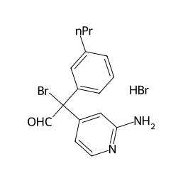 Br.CCCc1cccc(C(Br)(C=O)c2ccnc(N)c2)c1